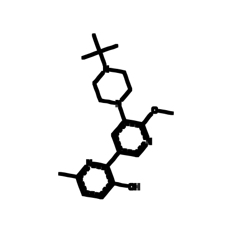 COc1ncc(-c2nc(C)ccc2O)cc1N1CCN(C(C)(C)C)CC1